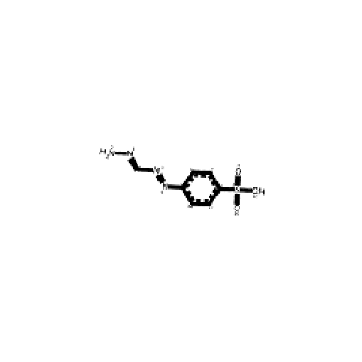 NN=CN=Nc1ccc(S(=O)(=O)O)cc1